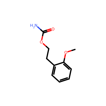 COc1ccccc1CCOC(N)=O